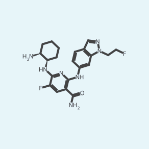 NC(=O)c1cc(F)c(N[C@@H]2CCCC[C@@H]2N)nc1Nc1ccc2cnn(CCF)c2c1